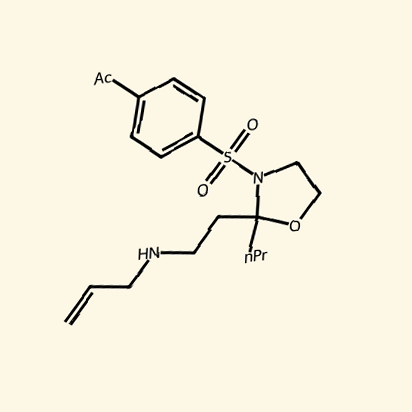 C=CCNCCC1(CCC)OCCN1S(=O)(=O)c1ccc(C(C)=O)cc1